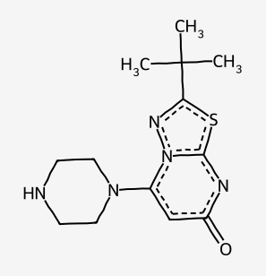 CC(C)(C)c1nn2c(N3CCNCC3)cc(=O)nc2s1